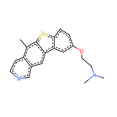 Cc1c2ccncc2cc2c1sc1ccc(OCCN(C)C)cc12